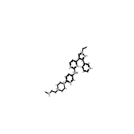 CCn1cc(-c2ccnc(Nc3ccc(N4CCN(CCOC)CC4)nc3)n2)c(-c2cccnc2)n1